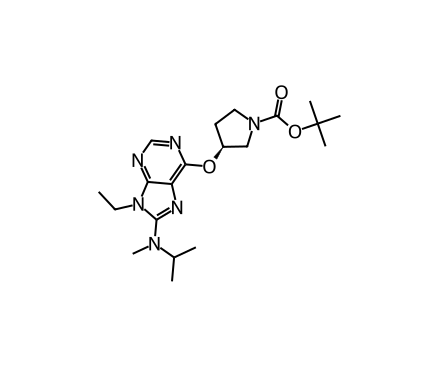 CCn1c(N(C)C(C)C)nc2c(O[C@H]3CCN(C(=O)OC(C)(C)C)C3)ncnc21